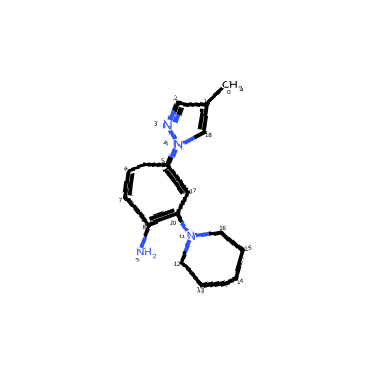 Cc1cnn(-c2ccc(N)c(N3CCCCC3)c2)c1